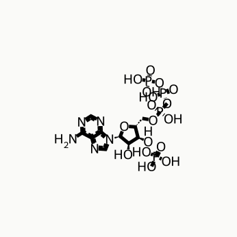 Nc1ncnc2c1ncn2[C@@H]1O[C@H](COP(=O)(O)OP(=O)(O)OP(=O)(O)O)[C@@H](O)[C@H]1O.O=P(O)(O)O